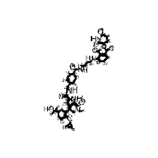 Cn1cc(-c2cc(C(C)(C)O)ccc2OC2CC2)c2cc(C(=O)NCc3ccc(C(=O)NCCCCNc4cccc5c4C(=O)N(C4CCC(=O)NC4=O)C5=O)cc3)[nH]c2c1=O